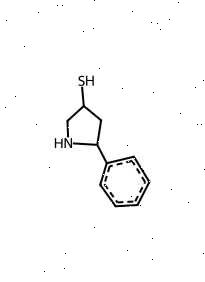 SC1CNC(c2ccccc2)C1